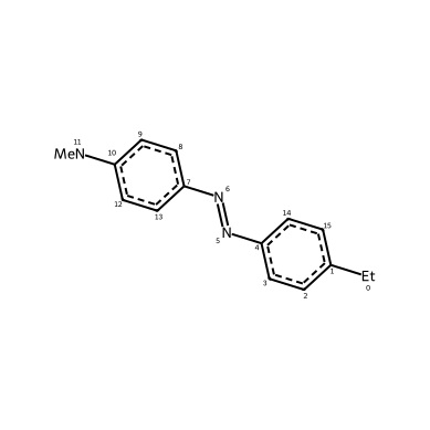 CCc1ccc(N=Nc2ccc(NC)cc2)cc1